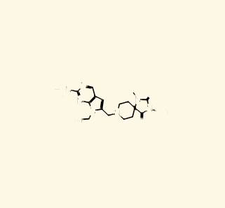 CCCN1C(=O)N(C)C2(CCN(Cc3cc4cnc(N)nc4n3CC(C)(C)C)CC2)C1=O